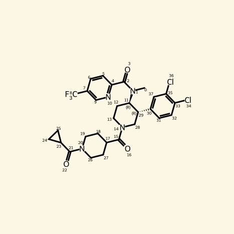 CN(C(=O)c1ccc(C(F)(F)F)cn1)[C@@H]1CCN(C(=O)C2CCN(C(=O)C3CC3)CC2)C[C@H]1c1ccc(Cl)c(Cl)c1